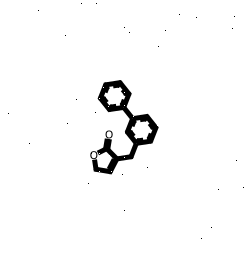 O=C1OCC=C1Cc1cccc(-c2ccccc2)c1